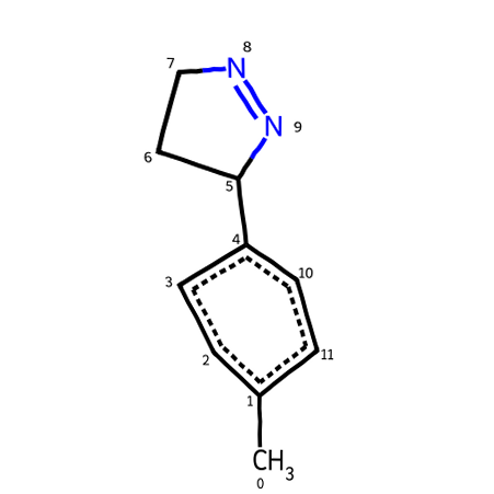 Cc1ccc(C2CCN=N2)cc1